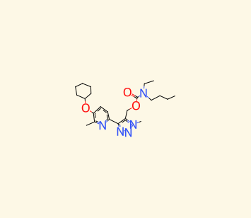 CCCCN(CC)C(=O)OCc1c(-c2ccc(OC3CCCCC3)c(C)n2)nnn1C